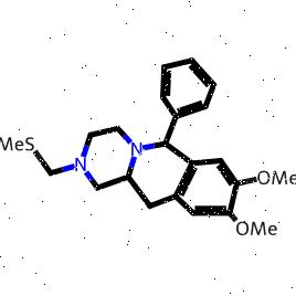 COc1cc2c(cc1OC)C(c1ccccc1)N1CCN(CSC)CC1C2